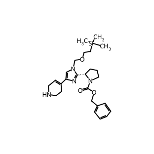 C[Si](C)(C)CCOCn1cc(C2=CCNCC2)nc1[C@@H]1CCCN1C(=O)OCc1ccccc1